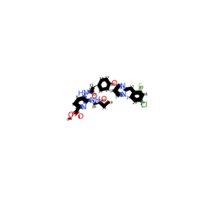 COC(=O)c1ccc(NC(=O)C[C@H]2CC[C@H](Oc3ccnc(Cc4ccc(Cl)cc4F)n3)CC2)c(NC[C@@H]2CCO2)n1